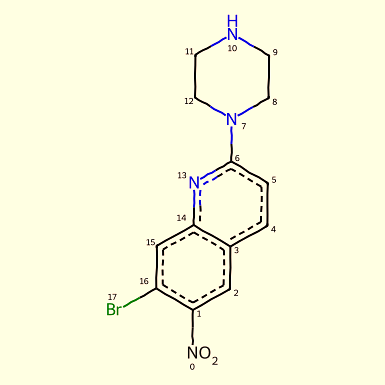 O=[N+]([O-])c1cc2ccc(N3CCNCC3)nc2cc1Br